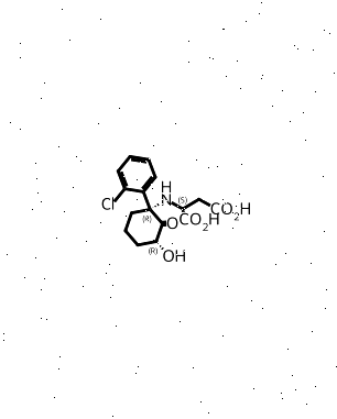 O=C(O)C[C@H](N[C@@]1(c2ccccc2Cl)CCC[C@@H](O)C1=O)C(=O)O